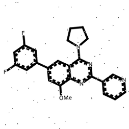 COc1cc(-c2cc(F)cc(F)c2)cc2c(N3CCCC3)nc(-c3cccnc3)nc12